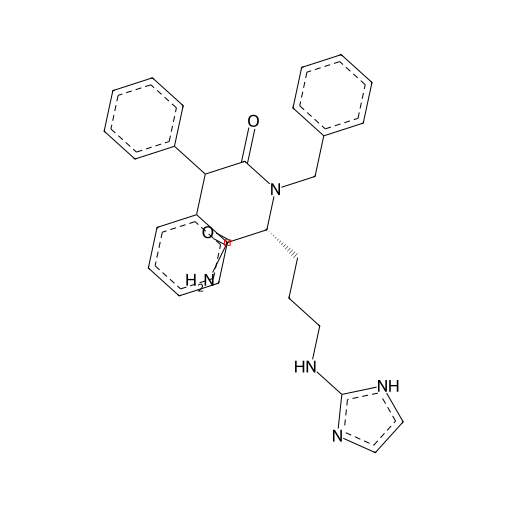 NC(=O)[C@@H](CCCNc1ncc[nH]1)N(Cc1ccccc1)C(=O)C(c1ccccc1)c1ccccc1